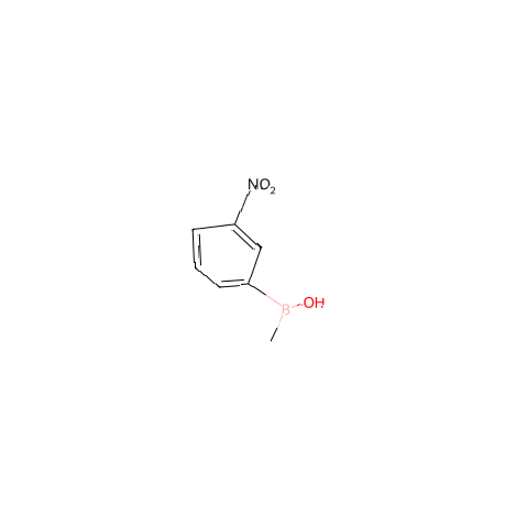 CB(O)c1cccc([N+](=O)[O-])c1